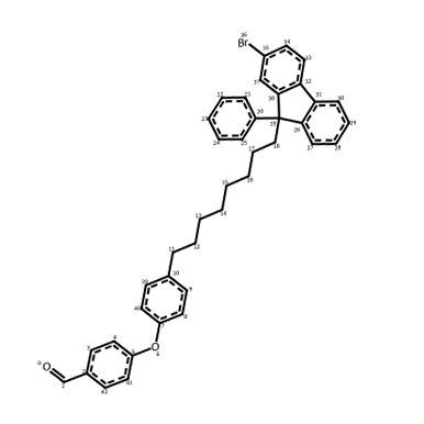 O=Cc1ccc(Oc2ccc(CCCCCCCCC3(c4ccccc4)c4ccccc4-c4ccc(Br)cc43)cc2)cc1